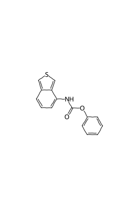 O=C(Nc1cccc2cscc12)Oc1ccccc1